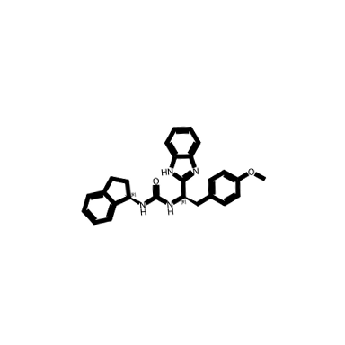 COc1ccc(C[C@@H](NC(=O)N[C@@H]2CCc3ccccc32)c2nc3ccccc3[nH]2)cc1